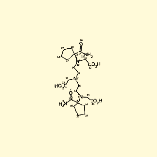 NC(=O)C1(N(CCN(CCN(CC(=O)O)C2(C(N)=O)CCCC2)CC(=O)O)CC(=O)O)CCCC1